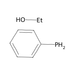 CCO.Pc1ccccc1